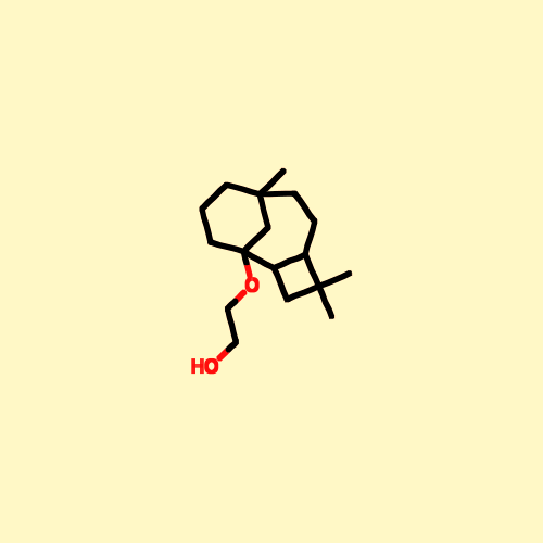 CC12CCCC(OCCO)(C1)C1CC(C)(C)C1CC2